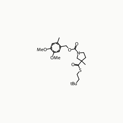 COc1cc(C)c(COC(=O)N2CCC(C)(C(=O)SCCC(C)(C)C)C2)cc1OC